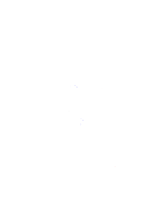 Cc1ccccc1NC(=O)C(Cc1ccc(O)cc1)NC(=O)c1ccccc1F